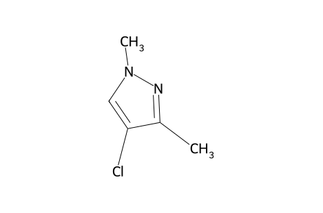 Cc1nn(C)cc1Cl